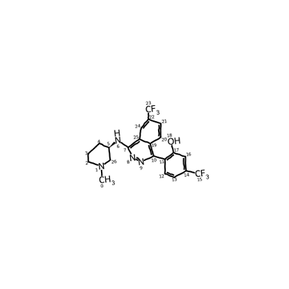 CN1CCC[C@@H](Nc2nnc(-c3ccc(C(F)(F)F)cc3O)c3ccc(C(F)(F)F)cc23)C1